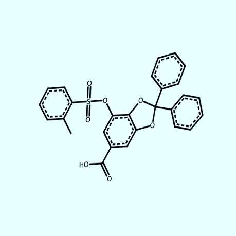 Cc1ccccc1S(=O)(=O)Oc1cc(C(=O)O)cc2c1OC(c1ccccc1)(c1ccccc1)O2